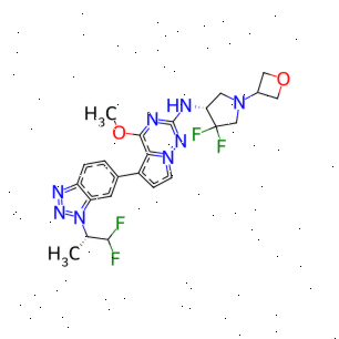 COc1nc(N[C@@H]2CN(C3COC3)CC2(F)F)nn2ccc(-c3ccc4nnn([C@@H](C)C(F)F)c4c3)c12